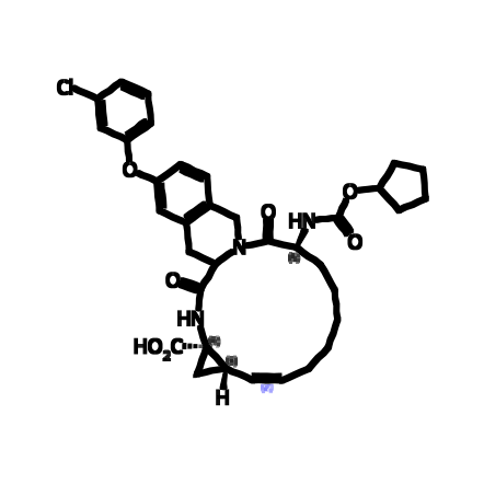 O=C(N[C@H]1CCCCC/C=C\[C@@H]2C[C@@]2(C(=O)O)NC(=O)C2Cc3cc(Oc4cccc(Cl)c4)ccc3CN2C1=O)OC1CCCC1